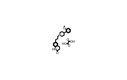 COc1ccccc1C1CCN(CCCc2ccc3c(c2)CCC(=O)N3)CC1.O=C(O)C(=O)O